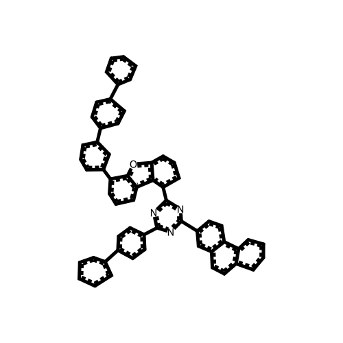 c1ccc(-c2ccc(-c3cccc(-c4cccc5c4oc4cccc(-c6nc(-c7ccc(-c8ccccc8)cc7)nc(-c7ccc8c(ccc9ccccc98)c7)n6)c45)c3)cc2)cc1